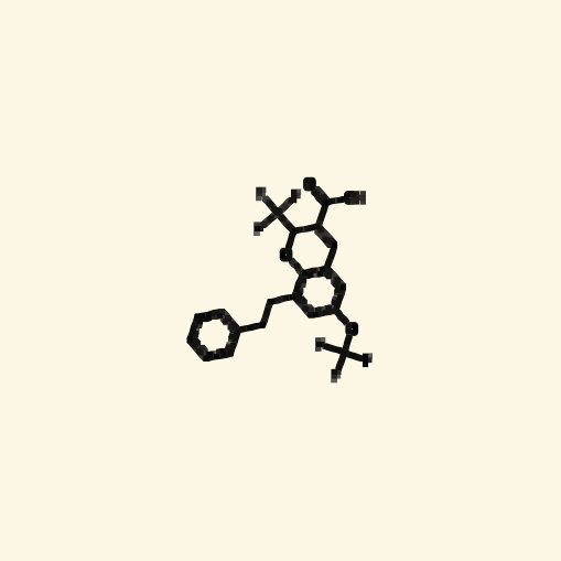 O=C(O)C1=Cc2cc(OC(F)(F)F)cc(CCc3ccccc3)c2OC1C(F)(F)F